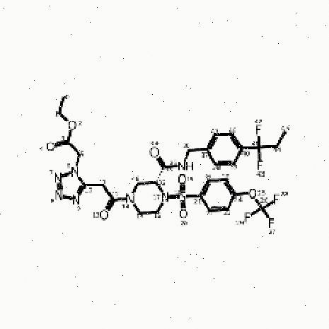 CCOC(=O)Cn1nnnc1CC(=O)N1CCN(S(=O)(=O)c2ccc(OC(F)(F)F)cc2)[C@@H](C(=O)NCc2ccc(C(F)(F)CC)cc2)C1